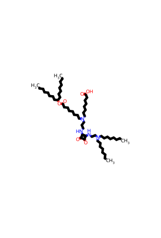 CCCCCCCCC(CCCCCCCC)OC(=O)CCCCCCCN(CCCCCCCC(=O)O)CCCNc1c(NCCN(CCCCCCCC)CCCCCCCC)c(=O)c1=O